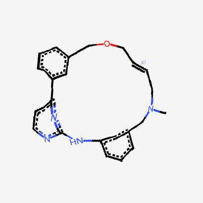 CN1C/C=C/COCc2cccc(c2)-c2ccnc(n2)Nc2cccc(c2)C1